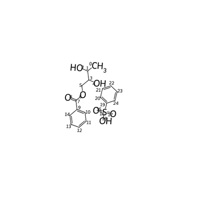 CC(O)C(O)COC(=O)c1ccccc1.O=S(=O)(O)c1ccccc1